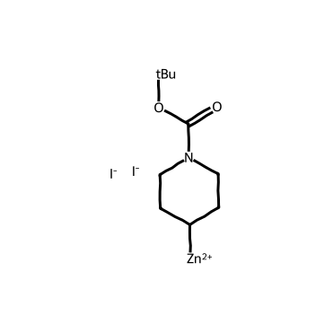 CC(C)(C)OC(=O)N1CC[CH]([Zn+2])CC1.[I-].[I-]